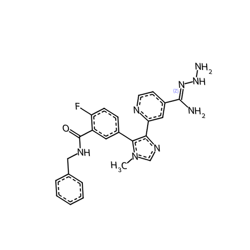 Cn1cnc(-c2cc(/C(N)=N/NN)ccn2)c1-c1ccc(F)c(C(=O)NCc2ccccc2)c1